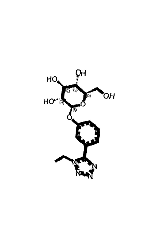 CCn1nnnc1-c1cccc(O[C@@H]2O[C@H](CO)[C@@H](O)[C@H](O)[C@H]2O)c1